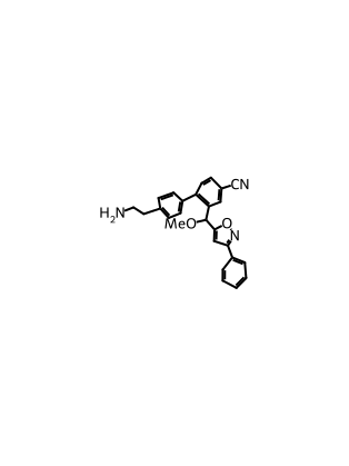 COC(c1cc(-c2ccccc2)no1)c1cc(C#N)ccc1-c1ccc(CCN)cc1